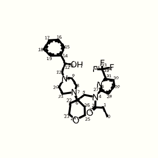 CCC(=O)N(CC1(N2CCN(CC(O)c3ccccc3)CC2)CCOCC1)c1cccc(C(F)(F)F)n1